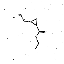 CCOC(=O)C1CN1CO